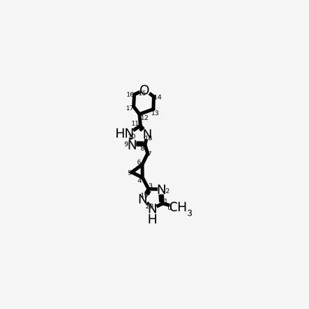 Cc1nc(C2CC2Cc2n[nH]c(C3CCOCC3)n2)n[nH]1